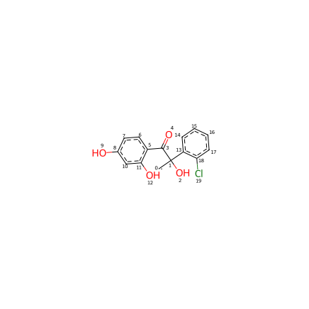 [CH2]C(O)(C(=O)c1ccc(O)cc1O)c1ccccc1Cl